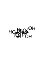 OC[C@@H]1C[C@@H](O)[C@](F)(n2cnc3c(O)ncnc32)O1